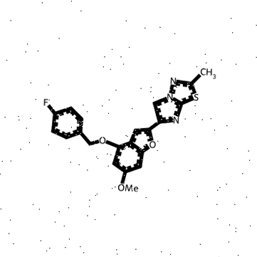 COc1cc(OCc2ccc(F)cc2)c2cc(-c3cn4nc(C)sc4n3)oc2c1